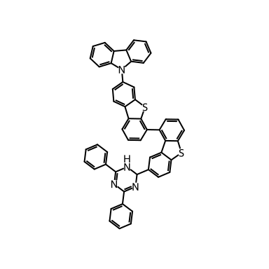 c1ccc(C2=NC(c3ccc4sc5cccc(-c6cccc7c6sc6cc(-n8c9ccccc9c9ccccc98)ccc67)c5c4c3)NC(c3ccccc3)=N2)cc1